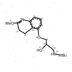 COC1=Nc2cccc(OCC(O)CNC(C)(C)C)c2CC1